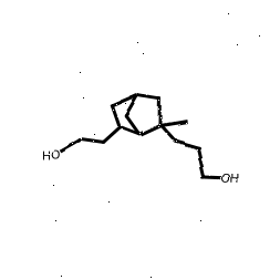 CC1(CCCO)CC2CC(CCO)C1C2